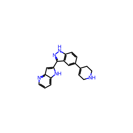 C1=C(c2ccc3[nH]nc(-c4cc5ncccc5[nH]4)c3c2)CCNC1